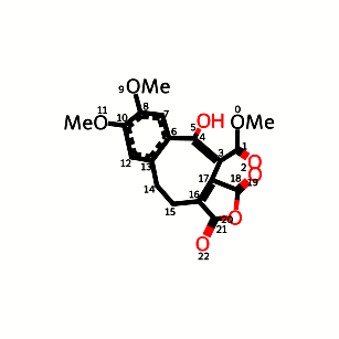 COC(=O)/C1=C(\O)c2cc(OC)c(OC)cc2CCC2=C1C(=O)OC2=O